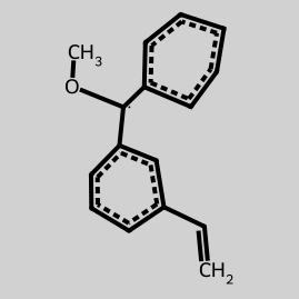 C=Cc1cccc([C](OC)c2ccccc2)c1